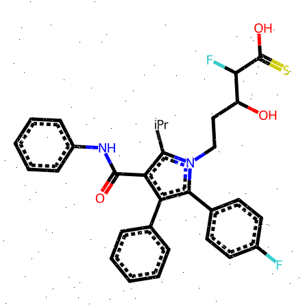 CC(C)c1c(C(=O)Nc2ccccc2)c(-c2ccccc2)c(-c2ccc(F)cc2)n1CCC(O)C(F)C(O)=S